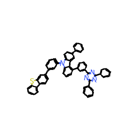 c1ccc(-c2ccc3c(c2)c2c(-c4cccc(-c5nc(-c6ccccc6)nc(-c6ccccc6)n5)c4)cccc2n3-c2cccc(-c3ccc4c(c3)sc3ccccc34)c2)cc1